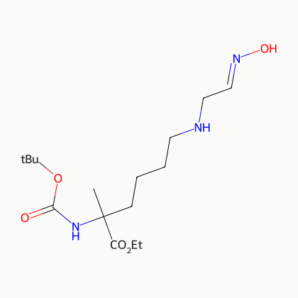 CCOC(=O)C(C)(CCCCNCC=NO)NC(=O)OC(C)(C)C